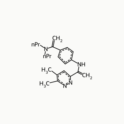 C=C(Nc1ccc(C(=C)N(CCC)CCC)cc1)c1cc(C)c(C)nn1